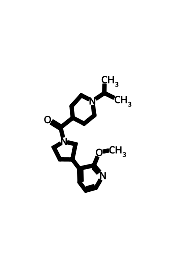 COc1ncccc1C1CCN(C(=O)C2CCN(C(C)C)CC2)C1